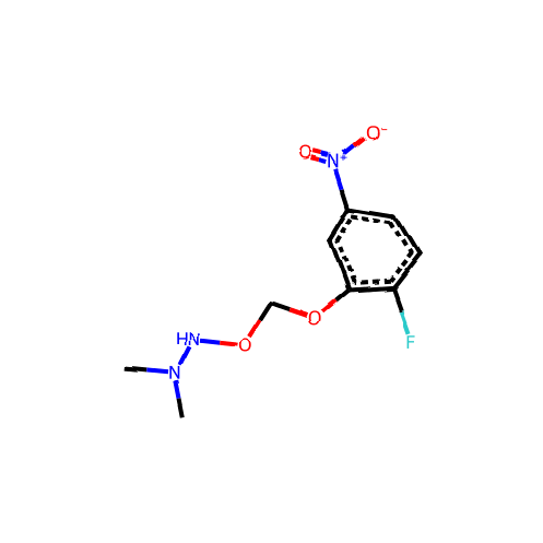 CN(C)NOCOc1cc([N+](=O)[O-])ccc1F